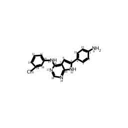 Nc1ccc(-c2cc3c(Nc4cccc(Cl)c4)ncnc3[nH]2)cc1